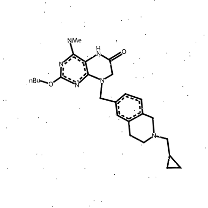 CCCCOc1nc(NC)c2c(n1)N(Cc1ccc3c(c1)CCN(CC1CC1)C3)CC(=O)N2